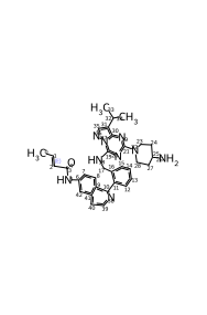 C/C=C/C(=O)Nc1ccc2c(-c3ccccc3CNc3nc(N4CCC(N)CC4)nc4c(C(C)C)cnn34)nccc2c1